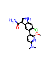 COc1nc(N(C)C)ccc1-c1cc2c(C(N)=O)c[nH]c2cc1Cl